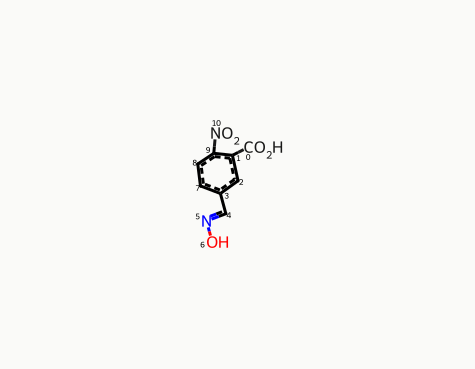 O=C(O)c1cc(/C=N/O)ccc1[N+](=O)[O-]